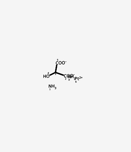 N.N.O=C([O-])C(O)C(=O)[O-].[Pt+2]